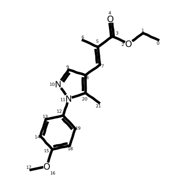 CCOC(=O)/C(C)=C/c1cnn(-c2ccc(OC)cc2)c1C